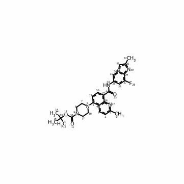 Cc1ccc2c(N3CCN(C(=O)OC(C)(C)C)CC3)ccc(C(=O)Nc3cc(F)c4nc(C)cn4c3)c2n1